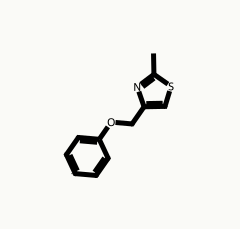 Cc1nc(COc2cc[c]cc2)cs1